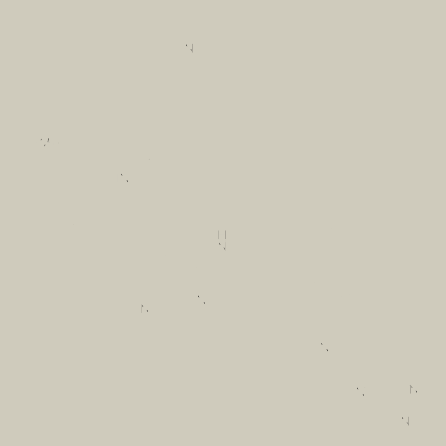 COCCOc1cc2ncnc(Nc3ccc(Oc4cc5nncn5cn4)c(C)c3)c2cc1NC(=O)C=Cc1ccc[nH]1